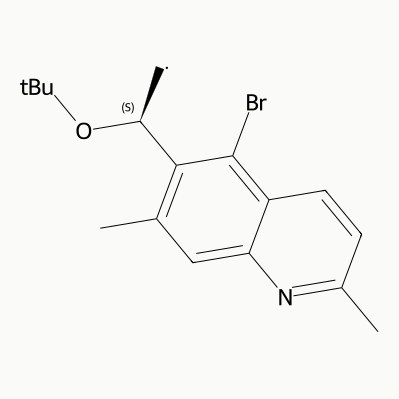 [CH2][C@H](OC(C)(C)C)c1c(C)cc2nc(C)ccc2c1Br